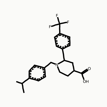 CC(C)c1ccc(CN2CCC(C(=O)O)CC2c2ccc(C(F)(F)F)cc2)cc1